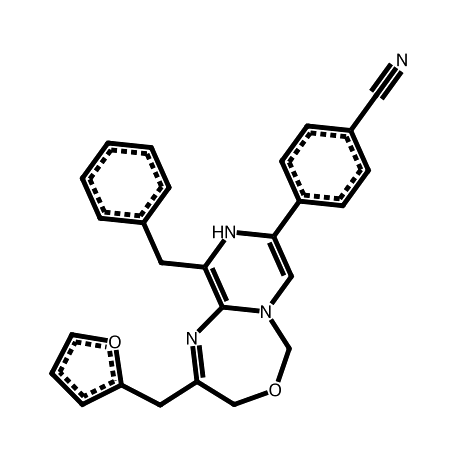 N#Cc1ccc(C2=CN3COCC(Cc4ccco4)=NC3=C(Cc3ccccc3)N2)cc1